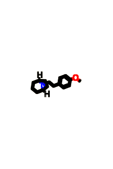 COc1ccc(CCN2[C@@H]3CCC[C@H]2CC3)cc1